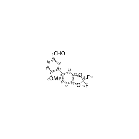 COc1ccc(C=O)cc1-c1ccc2c(c1)OC(F)(F)O2